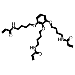 C=CC(=O)NCCCCOc1cccc(OCCCCNC(=O)C=C)c1OCCCCNC(=O)C=C